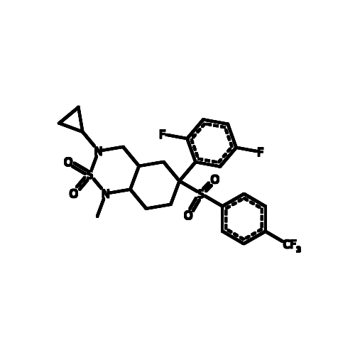 CN1C2CCC(c3cc(F)ccc3F)(S(=O)(=O)c3ccc(C(F)(F)F)cc3)CC2CN(C2CC2)S1(=O)=O